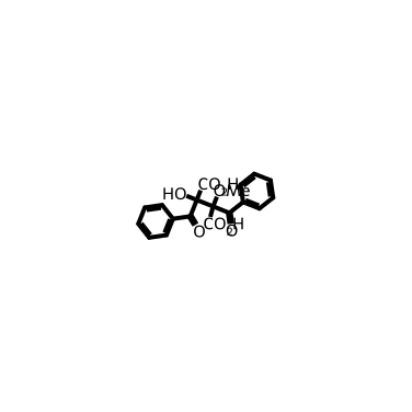 COC(C(=O)O)(C(=O)c1ccccc1)C(O)(C(=O)O)C(=O)c1ccccc1